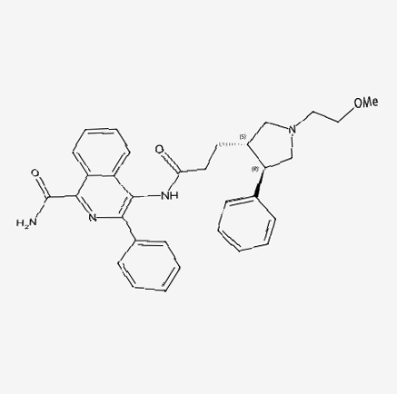 COCCN1C[C@@H](CCC(=O)Nc2c(-c3ccccc3)nc(C(N)=O)c3ccccc23)[C@H](c2ccccc2)C1